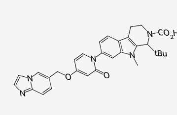 Cn1c2c(c3ccc(-n4ccc(OCc5ccc6nccn6c5)cc4=O)cc31)CCN(C(=O)O)C2C(C)(C)C